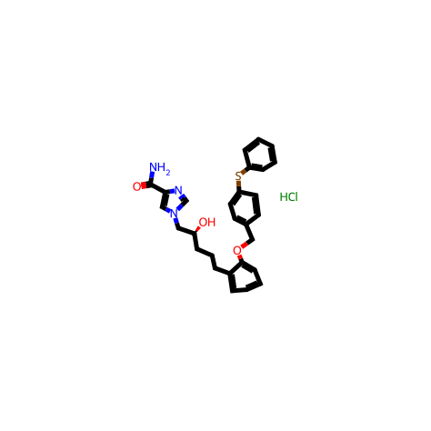 Cl.NC(=O)c1cn(C[C@@H](O)CCCc2ccccc2OCc2ccc(Sc3ccccc3)cc2)cn1